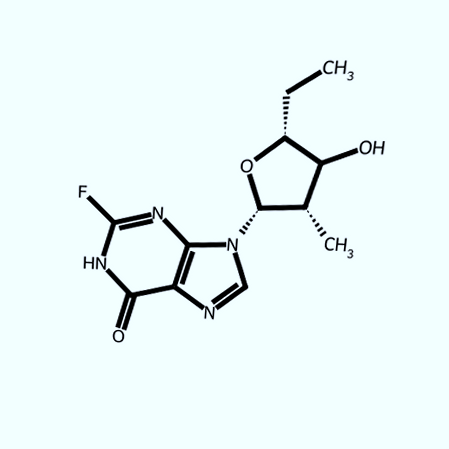 CC[C@H]1O[C@@H](n2cnc3c(=O)[nH]c(F)nc32)[C@@H](C)C1O